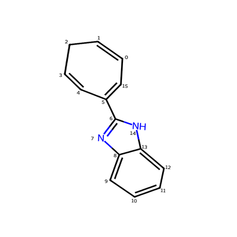 C1=CCC=CC(c2nc3ccccc3[nH]2)=C1